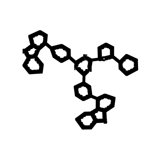 c1ccc(-c2cccc(-c3nc(-c4ccc(-c5cccc6sc7ccccc7c56)cc4)nc(-c4cccc(-c5cccc6sc7ccccc7c56)c4)n3)c2)cc1